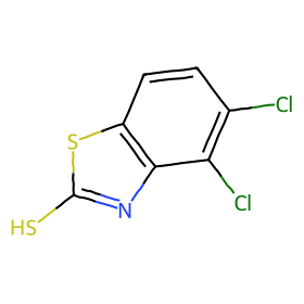 Sc1nc2c(Cl)c(Cl)ccc2s1